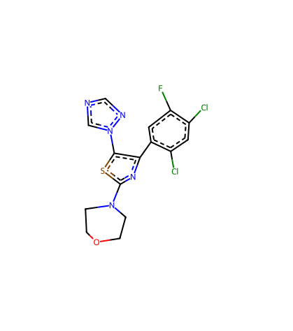 Fc1cc(-c2nc(N3CCOCC3)sc2-n2cncn2)c(Cl)cc1Cl